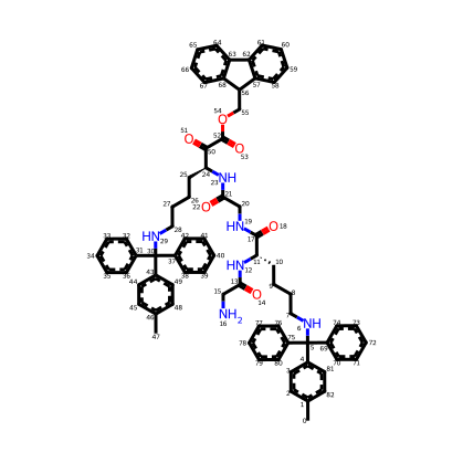 Cc1ccc(C(NCCCC[C@H](NC(=O)CN)C(=O)NCC(=O)N[C@@H](CCCCNC(c2ccccc2)(c2ccccc2)c2ccc(C)cc2)C(=O)C(=O)OCC2c3ccccc3-c3ccccc32)(c2ccccc2)c2ccccc2)cc1